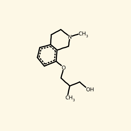 CC(CO)COc1cccc2c1CN(C)CC2